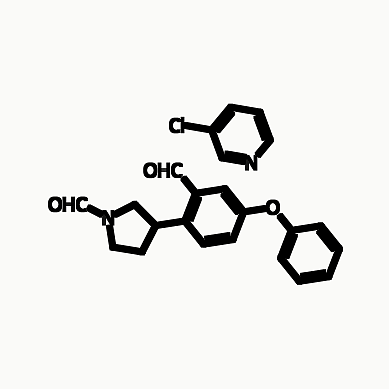 Clc1cccnc1.O=Cc1cc(Oc2ccccc2)ccc1C1CCN(C=O)C1